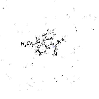 [C-]#[N+]/C(C#N)=C1\c2ccccc2-c2c(C(=O)OC)cccc21